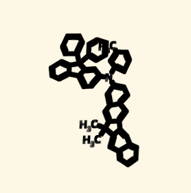 Cc1cccc(N(c2ccc3c(c2)C(c2ccccc2)(c2ccccc2)c2ccccc2-3)c2ccc3cc4c(cc3c2)C(C)(C)c2cc3ccccc3cc2-4)c1